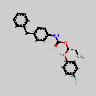 [CH2]C[C@@H](OC(=O)Nc1ccc(Cc2ccccc2)cc1)Oc1ccc(F)cc1